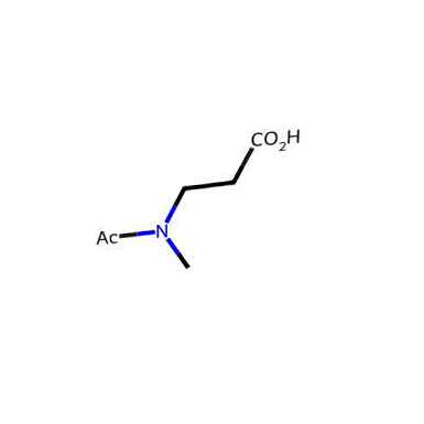 [CH2]C(=O)N(C)CCC(=O)O